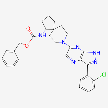 O=C(NC1CCCC12CCN(c1cnc3c(-c4ccccc4Cl)n[nH]c3n1)CC2)OCc1ccccc1